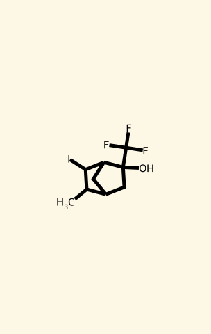 CC1C2CC(C1I)C(O)(C(F)(F)F)C2